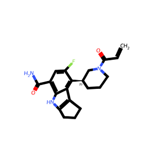 C=CC(=O)N1CCC[C@@H](c2c(F)cc(C(N)=O)c3[nH]c4c(c23)CCC4)C1